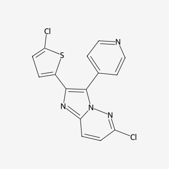 Clc1ccc2nc(-c3ccc(Cl)s3)c(-c3ccncc3)n2n1